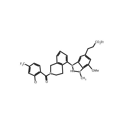 CCOC(=O)CCc1cc(OC)c2c(c1)N(c1cccc3c1CCN(C(=O)c1ccc(C(F)(F)F)cc1Cl)C3)NN2C